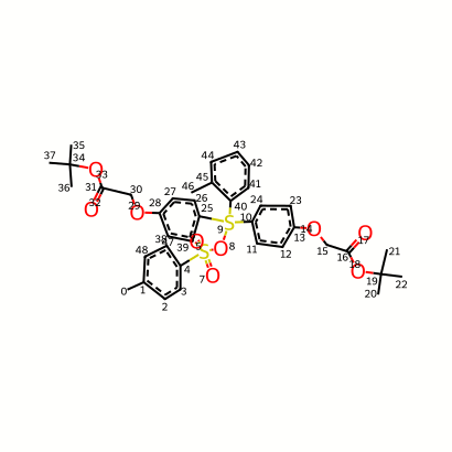 Cc1ccc(S(=O)(=O)OS(c2ccc(OCC(=O)OC(C)(C)C)cc2)(c2ccc(OCC(=O)OC(C)(C)C)cc2)c2ccccc2C)cc1